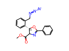 COC(=O)C1N=C(c2ccccc2)O[C@H]1c1ccccc1CN=[N+]=[N-]